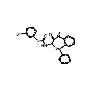 CN1C(=O)C(NC(=O)Nc2cccc(Br)c2)N=C(c2ccccc2)c2ccccc21